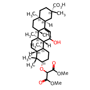 COC(=O)C(O[C@H]1CC[C@]2(C)[C@H]3C(O)C=C4[C@@H]5C[C@@](C)(C(=O)O)CC[C@]5(C)CC[C@@]4(C)[C@]3(C)CC[C@H]2C1(C)C)C(=O)OC